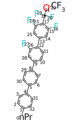 CCCc1ccc(-c2ccc(-c3ccc(-c4cc(F)c(C(F)(F)OC(F)(F)F)c(F)c4)c(F)c3)cc2)cc1